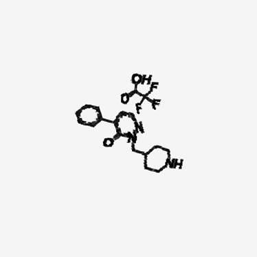 O=C(O)C(F)(F)F.O=c1c(-c2ccccc2)ccnn1CC1CCNCC1